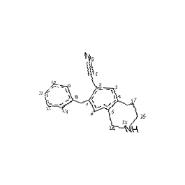 N#Cc1cc2c(cc1-c1ccccc1)CNCC2